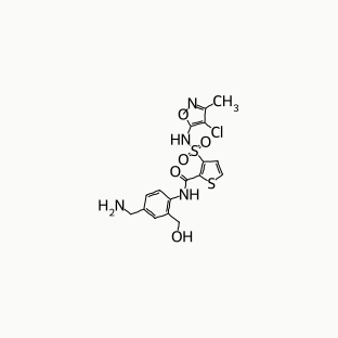 Cc1noc(NS(=O)(=O)c2ccsc2C(=O)Nc2ccc(CN)cc2CO)c1Cl